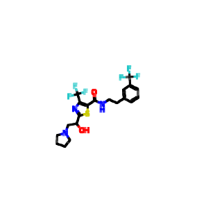 O=C(NCCc1cccc(C(F)(F)F)c1)c1sc(C(O)CN2CCCC2)nc1C(F)(F)F